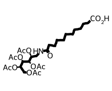 CC(=O)OC[C@@H](OC(C)=O)[C@@H](OC(C)=O)[C@H](OC(C)=O)[C@H](CNC(=O)CCCCCCCCCCC(=O)O)OC(C)=O